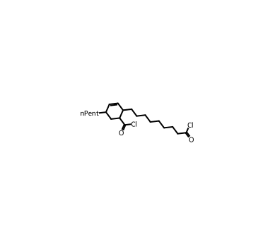 CCCCCC1C=CC(CCCCCCCCC(=O)Cl)C(C(=O)Cl)C1